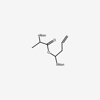 C=CCC(CCCCCCCCC)OC(=O)C(C)CCCCCCCCC